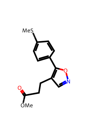 COC(=O)CCc1cnoc1-c1ccc(SC)cc1